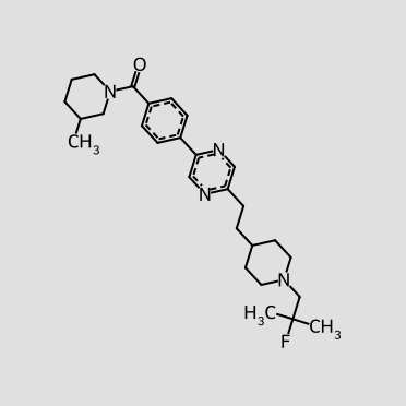 CC1CCCN(C(=O)c2ccc(-c3cnc(CCC4CCN(CC(C)(C)F)CC4)cn3)cc2)C1